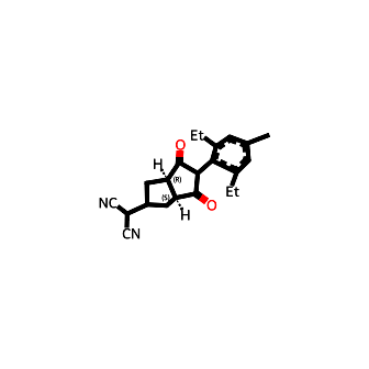 CCc1cc(C)cc(CC)c1C1C(=O)[C@H]2CC(C(C#N)C#N)C[C@H]2C1=O